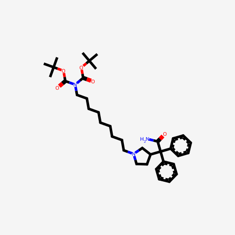 CC(C)(C)OC(=O)N(CCCCCCCCCN1CCC(C(C(N)=O)(c2ccccc2)c2ccccc2)C1)C(=O)OC(C)(C)C